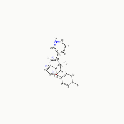 CC1C=CC(CCC2=C\C=C/C[C@@H](C)/C(c3cccnc3)=C\2)=CC1